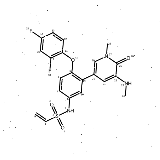 C=CS(=O)(=O)Nc1ccc(Oc2ccc(F)cc2F)c(-c2cc(NC)c(=O)n(C)c2)c1